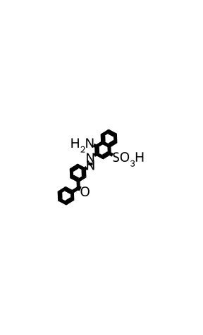 Nc1c(N=Nc2cccc(C(=O)c3ccccc3)c2)cc(S(=O)(=O)O)c2ccccc12